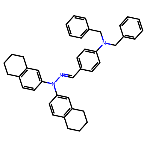 C(=NN(c1ccc2c(c1)CCCC2)c1ccc2c(c1)CCCC2)c1ccc(N(Cc2ccccc2)Cc2ccccc2)cc1